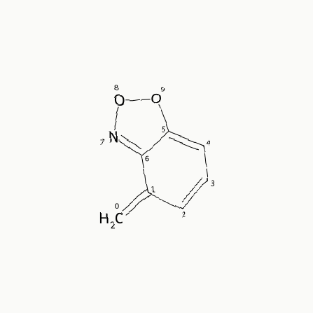 C=c1cccc2c1=NOO2